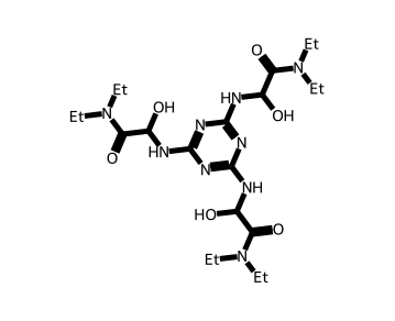 CCN(CC)C(=O)C(O)Nc1nc(NC(O)C(=O)N(CC)CC)nc(NC(O)C(=O)N(CC)CC)n1